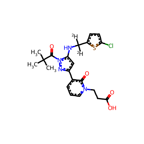 [2H]C([2H])(Nc1cc(-c2cccn(CCC(=O)O)c2=O)nn1C(=O)C(C)(C)C)c1ccc(Cl)s1